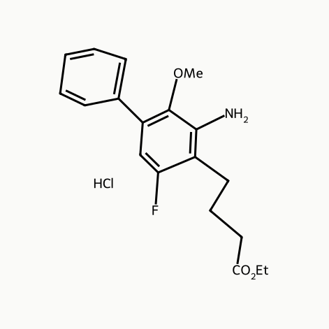 CCOC(=O)CCCc1c(F)cc(-c2ccccc2)c(OC)c1N.Cl